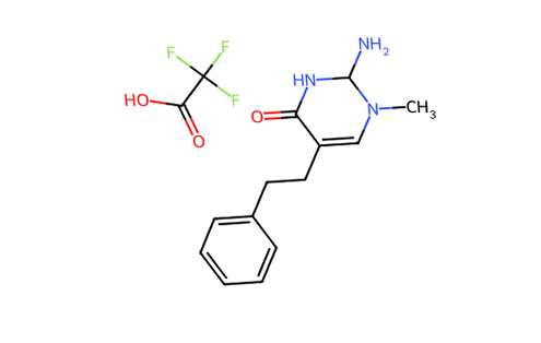 CN1C=C(CCc2ccccc2)C(=O)NC1N.O=C(O)C(F)(F)F